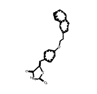 O=C1NC(=O)/C(=C/c2ccc(OCCc3ccc4ccccc4c3)cc2)S1